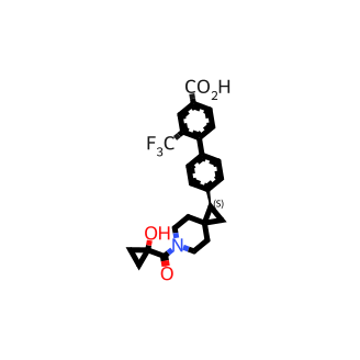 O=C(O)c1ccc(-c2ccc([C@H]3CC34CCN(C(=O)C3(O)CC3)CC4)cc2)c(C(F)(F)F)c1